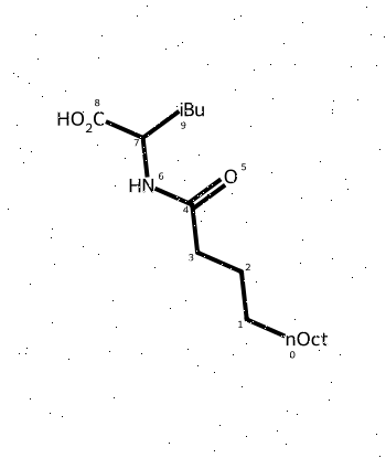 CCCCCCCCCCCC(=O)NC(C(=O)O)C(C)CC